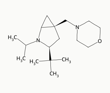 CC(C)N1C2C[C@]2(CN2CCOCC2)C[C@H]1C(C)(C)C